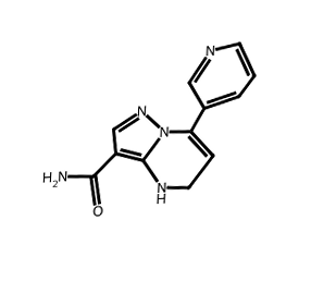 NC(=O)c1cnn2c1NCC=C2c1cccnc1